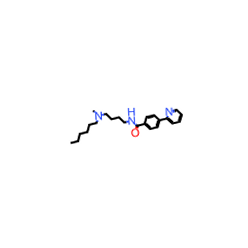 CCCCCCN(C)CCCCNC(=O)c1ccc(-c2ccccn2)cc1